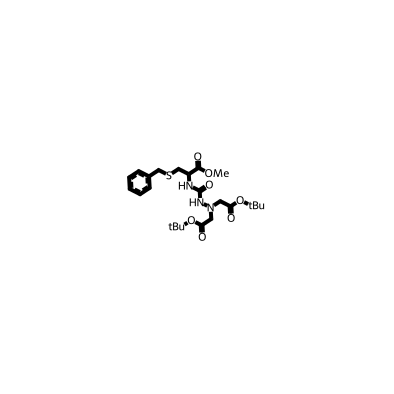 COC(=O)C(CSCc1ccccc1)NC(=O)NN(CC(=O)OC(C)(C)C)CC(=O)OC(C)(C)C